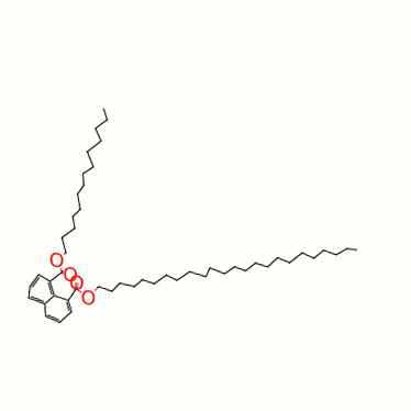 CCCCCCCCCCCCCCCCCCCCCCCCOC(=O)c1cccc2cccc(C(=O)OCCCCCCCCCCCCCC)c12